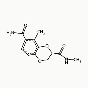 CNC(=O)[C@H]1COc2ccc(C(N)=O)c(C)c2O1